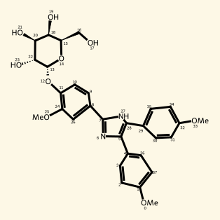 COc1ccc(-c2nc(-c3ccc(O[C@H]4O[C@H](CO)[C@H](O)[C@H](O)[C@H]4O)c(OC)c3)[nH]c2-c2ccc(OC)cc2)cc1